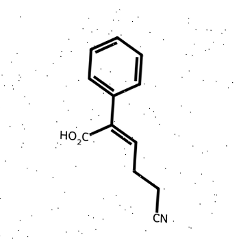 N#CCCC=C(C(=O)O)c1ccccc1